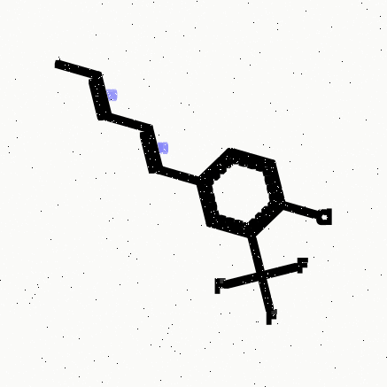 C/C=C/C=C/c1ccc(Cl)c(C(F)(F)F)c1